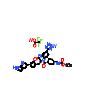 CC(C)(C)OC(=O)NC[C@H]1CC[C@H](C(=O)N(c2ccc(-c3nn[nH]n3)cc2)[C@@H](Cc2ccc(-c3cnc4[nH]ccc4c3)cc2)C(N)=O)CC1.O=C(O)C(F)(F)F